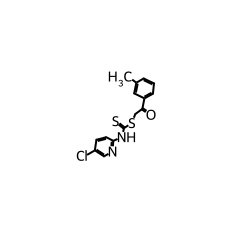 Cc1cccc(C(=O)CSC(=S)Nc2ccc(Cl)cn2)c1